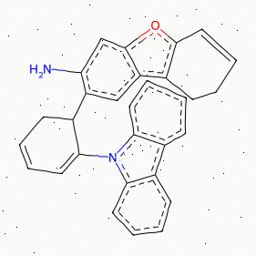 Nc1cc2oc3c(c2cc1C1CC=CC=C1n1c2ccccc2c2ccccc21)CCC=C3